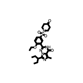 CCOc1ccc(S(=O)(=O)N2CCC(=O)CC2)cc1-c1nn2c(C(CC)CC)nc(C)c2c(=O)[nH]1